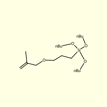 C=C(C)COCCC[Si](OCCCC)(OCCCC)OCCCC